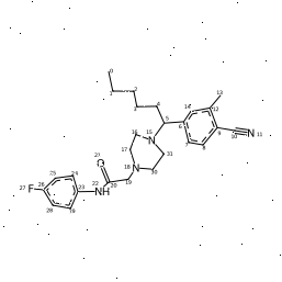 CCCCCC(c1ccc(C#N)c(C)c1)N1CCN(CC(=O)Nc2ccc(F)cc2)CC1